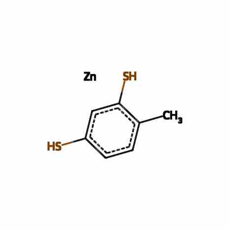 Cc1ccc(S)cc1S.[Zn]